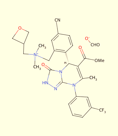 COC(=O)C1=C(C)N(c2cccc(C(F)(F)F)c2)c2n[nH]c(=O)n2[C@@H]1c1ccc(C#N)cc1C[N+](C)(C)CC1COC1.O=C[O-]